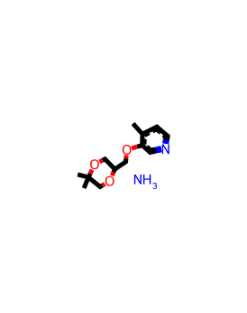 Cc1ccncc1OCC1COC(C)(C)CO1.N